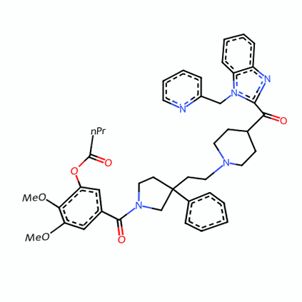 CCCC(=O)Oc1cc(C(=O)N2CCC(CCN3CCC(C(=O)c4nc5ccccc5n4Cc4ccccn4)CC3)(c3ccccc3)C2)cc(OC)c1OC